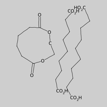 O=C(O)CCCCCCCC(=O)O.O=C(O)CCCCCCCCC(=O)O.O=C1CCCCC(=O)OCCO1